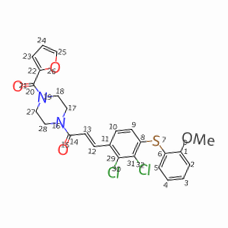 COc1ccccc1Sc1ccc(C=CC(=O)N2CCN(C(=O)c3ccco3)CC2)c(Cl)c1Cl